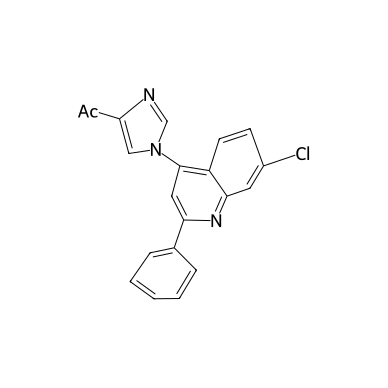 CC(=O)c1cn(-c2cc(-c3ccccc3)nc3cc(Cl)ccc23)cn1